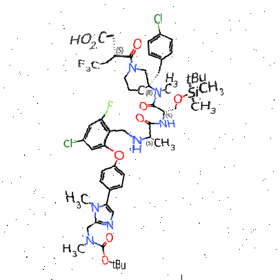 C[C@H](NCc1c(F)cc(Cl)cc1Oc1ccc(-c2cnc(CN(C)C(=O)OC(C)(C)C)n2C)cc1)C(=O)N[C@@H](CO[Si](C)(C)C(C)(C)C)C(=O)N(C)[C@@]1(Cc2ccc(Cl)cc2)CCCN(C(=O)[C@@H](CC(=O)O)CC(F)(F)F)C1